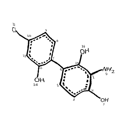 Nc1c(O)ccc(-c2ccc(Cl)cc2O)c1O